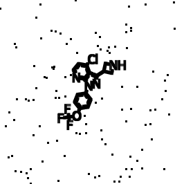 FC(F)(F)Oc1ccc(-n2nc(C3CNC3)c3c(Cl)ccnc32)cc1